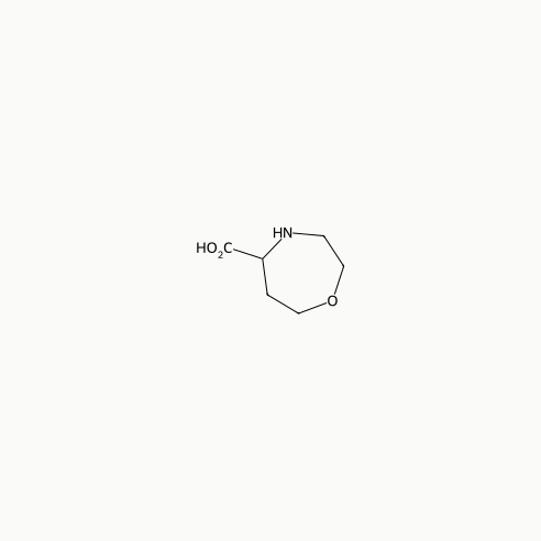 O=C(O)C1CCOCCN1